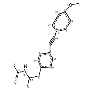 COc1ccc(C#Cc2ccc(CC(C)NC(C)=O)cc2)cc1